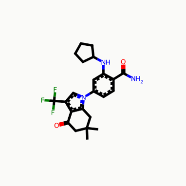 CC1(C)CC(=O)c2c(C(F)(F)F)cn(-c3ccc(C(N)=O)c(NC4CCCC4)c3)c2C1